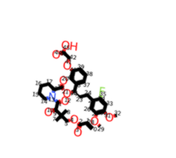 C=CC(=O)OCC(C)(C)C(=O)C(=O)N1CCCCC1C(=O)O[C@H](CCc1cc(OC)c(OC)cc1F)c1cccc(OCC(=O)O)c1